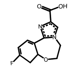 O=C(O)c1cn2c(n1)C1=CC=C(F)CC1OCC2